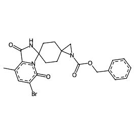 Cc1cc(Br)c(=O)n2c1C(=O)NC21CCC2(CC1)CN2C(=O)OCc1ccccc1